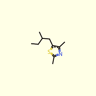 CCC(C)Cc1sc(C)nc1C